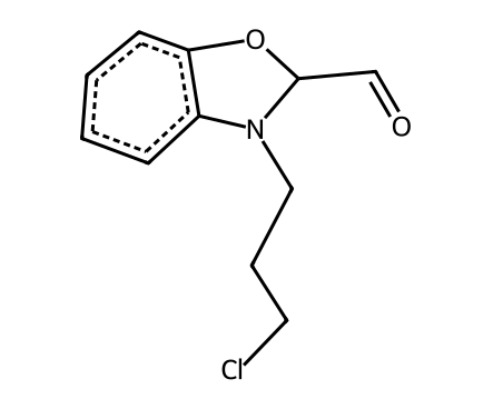 O=CC1Oc2ccccc2N1CCCCl